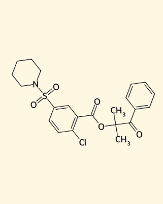 CC(C)(OC(=O)c1cc(S(=O)(=O)N2CCCCC2)ccc1Cl)C(=O)c1ccccc1